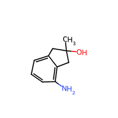 CC1(O)Cc2cccc(N)c2C1